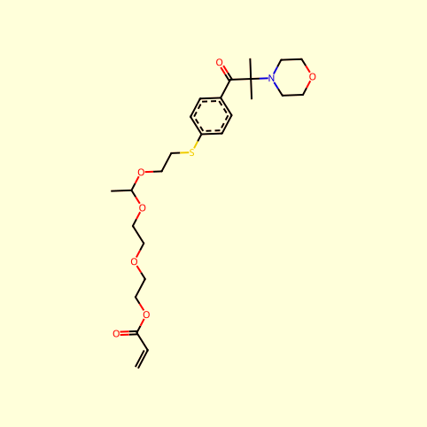 C=CC(=O)OCCOCCOC(C)OCCSc1ccc(C(=O)C(C)(C)N2CCOCC2)cc1